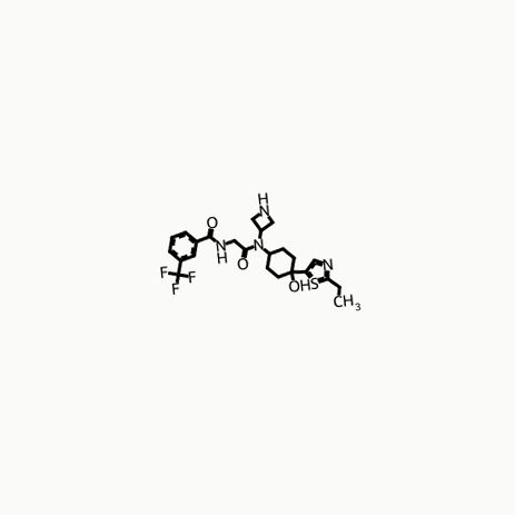 CCc1ncc(C2(O)CCC(N(C(=O)CNC(=O)c3cccc(C(F)(F)F)c3)C3CNC3)CC2)s1